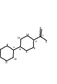 C=C(C)C1CCC(C2CCCCC2)CC1